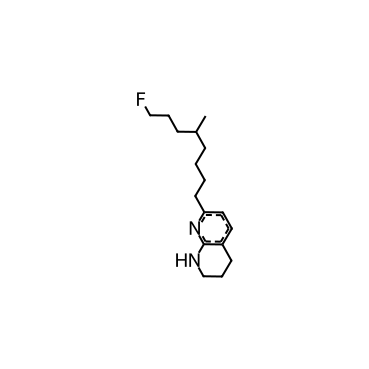 CC(CCCF)CCCCc1ccc2c(n1)NCCC2